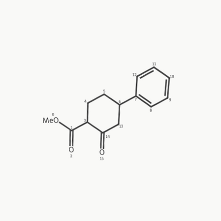 COC(=O)C1CCC(c2ccccc2)CC1=O